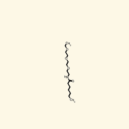 CCCCCCC(=O)NCCOCCOCCOCC